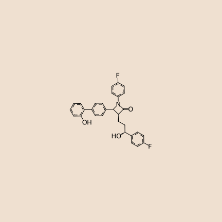 O=C1[C@@H](CC[C@H](O)c2ccc(F)cc2)C(c2ccc(-c3ccccc3O)cc2)N1c1ccc(F)cc1